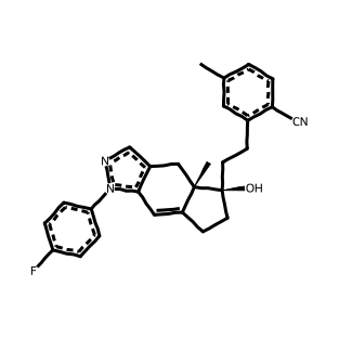 Cc1ccc(C#N)c(CC[C@]2(O)CCC3=Cc4c(cnn4-c4ccc(F)cc4)C[C@@]32C)c1